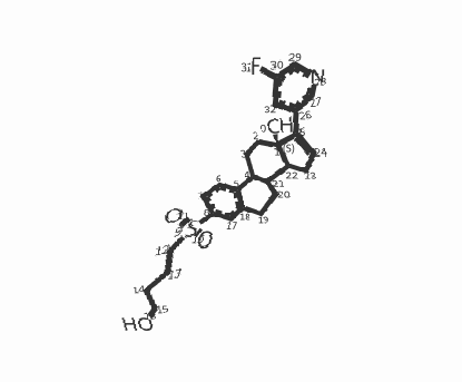 C[C@]12CCC3c4ccc(S(=O)(=O)CCCCO)cc4CCC3C1CC=C2c1cncc(F)c1